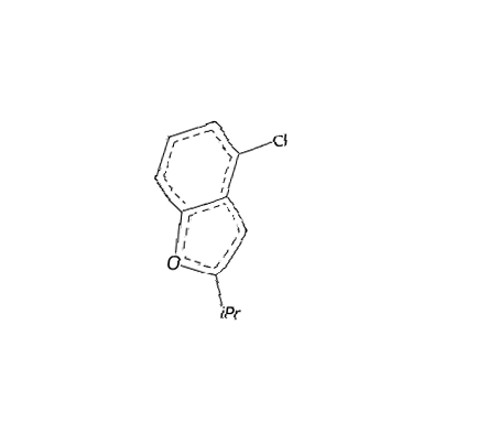 CC(C)c1cc2c(Cl)cccc2o1